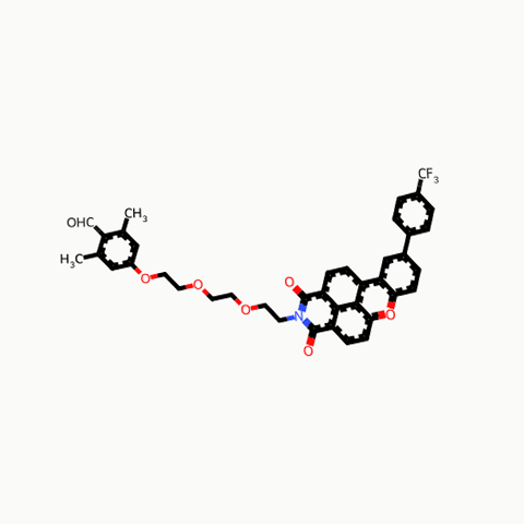 Cc1cc(OCCOCCOCCn2c(=O)c3ccc4oc5ccc(-c6ccc(C(F)(F)F)cc6)cc5c5ccc(c2=O)c3c45)cc(C)c1C=O